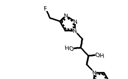 Nc1nccn1CC(O)C(O)Cn1cc(CF)nn1